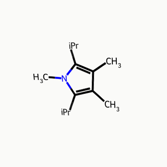 Cc1c(C)c(C(C)C)n(C)c1C(C)C